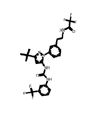 CC(C)(C)c1cc(NC(=O)Nc2cccc(C(F)(F)F)c2)n(-c2cccc(CCNC(=O)C(F)(F)F)c2)n1